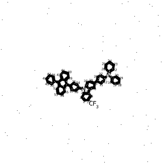 FC(F)(F)c1ccc2c(c1)c1cc(-c3ccc(N(c4ccccc4)c4ccccc4)cc3)ccc1n2-c1ccc(-c2c3ccccc3c(-c3ccccc3)c3ccccc23)cc1